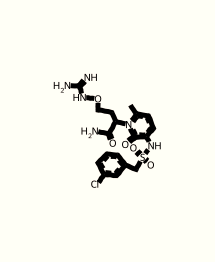 Cc1ccc(NS(=O)(=O)Cc2cccc(Cl)c2)c(=O)n1C(CCONC(=N)N)C(N)=O